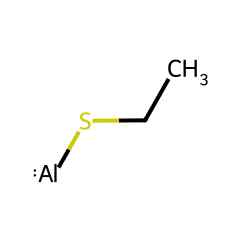 CC[S][Al]